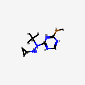 CSc1ncnc(N(NC2CC2)C(C)(C)C)n1